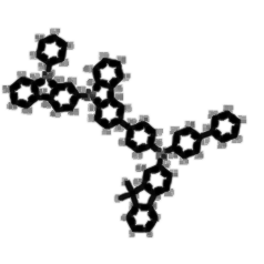 CC1(C)c2ccccc2-c2ccc(N(c3ccc(-c4ccccc4)cc3)c3ccc(-c4ccc5c(c4)c4ccccc4n5-c4ccc5c6ccccc6n(-c6ccccc6)c5c4)cc3)cc21